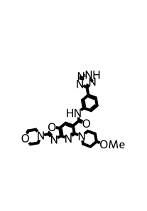 COC1CCN(c2nc3nc(N4CCOCC4)oc3cc2C(=O)Nc2cccc(-c3nn[nH]n3)c2)CC1